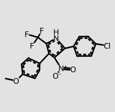 COc1ccc(-c2c(C(F)(F)F)[nH]c(-c3ccc(Cl)cc3)c2[N+](=O)[O-])cc1